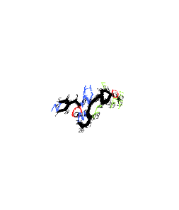 O=C(Cc1ccncc1)N[C@@H](c1ccc(OC(F)(F)F)c(F)c1)c1ncccc1F